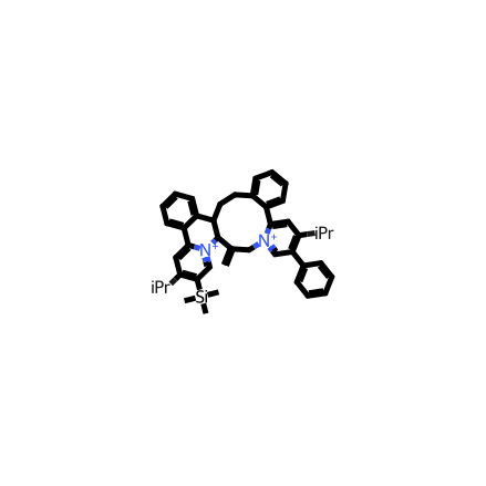 C=C1C[n+]2cc(-c3ccccc3)c(C(C)C)cc2-c2ccccc2CCC2c3ccccc3-c3cc(C(C)C)c([Si](C)(C)C)c[n+]3C12